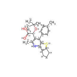 Cc1ccc(-c2c(C(OC(C)(C)C)C(=O)O)c(C)nc3c4c(sc23)CCC4)cc1